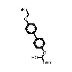 CCCCC(O)Oc1ccc(-c2ccc(OCC(C)CC)cc2)cc1